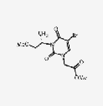 COC[C@H](C)n1c(=O)c(Br)cn(CC(=O)OC)c1=O